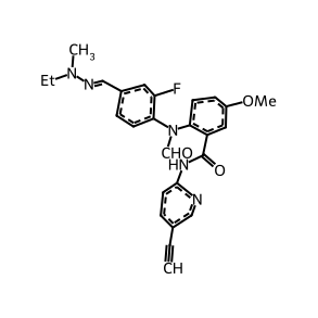 C#Cc1ccc(NC(=O)c2cc(OC)ccc2N(C=O)c2ccc(C=NN(C)CC)cc2F)nc1